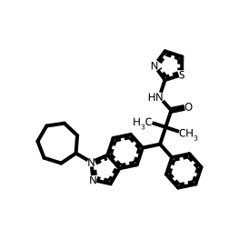 CC(C)(C(=O)Nc1nccs1)C(c1ccccc1)c1ccc2c(cnn2C2CCCCCC2)c1